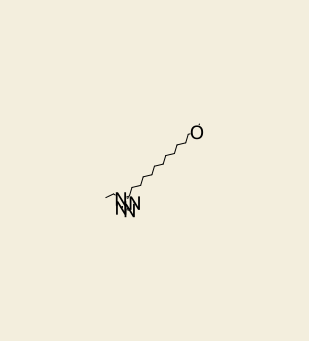 CCn1nnnc1CCCCCCCCCCCOC